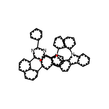 c1ccc(-c2nc(-c3ccccc3)nc(-c3cccc4cccc(-c5ccc6c(c5)c5ccc7c8ccccc8n(-c8ccccc8)c7c5n6-c5ccccc5)c34)n2)cc1